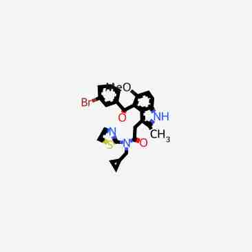 COc1ccc2[nH]c(C)c(CC(=O)N(CC3CC3)c3nccs3)c2c1C(=O)c1cccc(Br)c1